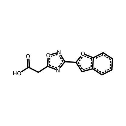 O=C(O)Cc1nc(-c2cc3ccccc3o2)no1